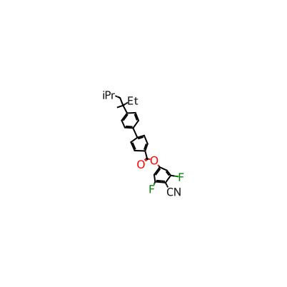 CCC(C)(CC(C)C)c1ccc(-c2ccc(C(=O)Oc3cc(F)c(C#N)c(F)c3)cc2)cc1